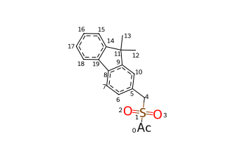 CC(=O)S(=O)(=O)Cc1ccc2c(c1)C(C)(C)c1ccccc1-2